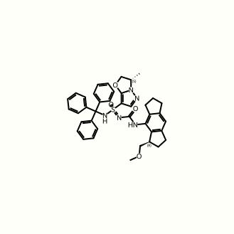 COC[C@@H]1CCc2cc3c(c(NC(=O)N=S(=O)(NC(c4ccccc4)(c4ccccc4)c4ccccc4)c4cnn5c4OC[C@@H]5C)c21)CCC3